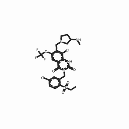 CCS(=O)(=O)c1ccc(Cl)cc1Cn1c(=O)[nH]c2c(Cl)c(CN3CCC(NC)C3)c(OC(F)(F)F)cc2c1=O